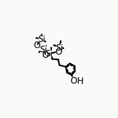 C[Si](C)(C)O[Si](C)(C)O[Si](C)(CCCc1cccc(O)c1)O[Si](C)(C)C